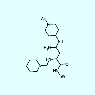 CCCNC(=O)C(CC(N)NC1CCN(C(C)=O)CC1)NCN1CCCCC1